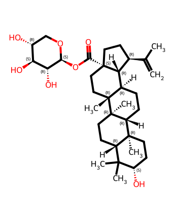 C=C(C)[C@@H]1CC[C@]2(C(=O)O[C@@H]3OC[C@@H](O)[C@H](O)[C@H]3O)CC[C@]3(C)[C@H](CC[C@@H]4[C@@]5(C)CC[C@H](O)C(C)(C)[C@@H]5CC[C@]43C)[C@@H]12